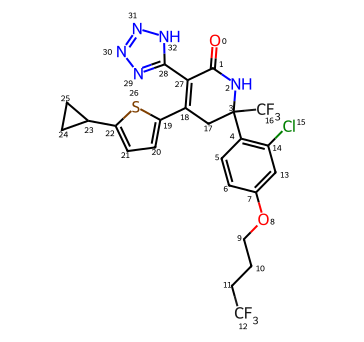 O=C1NC(c2ccc(OCCCC(F)(F)F)cc2Cl)(C(F)(F)F)CC(c2ccc(C3CC3)s2)=C1c1nnn[nH]1